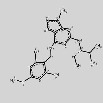 COc1cc(O)c(CNc2nc(N[C@@H](CO)C(C)C)nc3c2nnn3C)c(O)c1